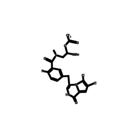 CNC(CN(C)C(=O)c1cc(Cc2c[nH]c(=O)c3cc(Cl)c(Cl)n23)ccc1F)OC(=O)C(F)(F)F